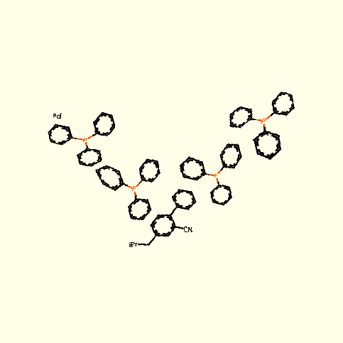 CC(C)Cc1ccc(-c2ccccc2)c(C#N)c1.[Pd].c1ccc(P(c2ccccc2)c2ccccc2)cc1.c1ccc(P(c2ccccc2)c2ccccc2)cc1.c1ccc(P(c2ccccc2)c2ccccc2)cc1.c1ccc(P(c2ccccc2)c2ccccc2)cc1